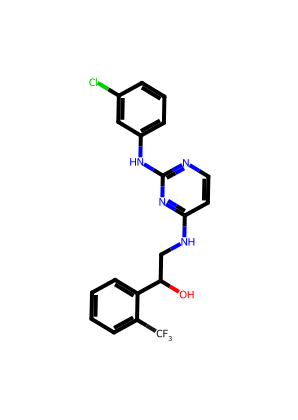 OC(CNc1ccnc(Nc2cccc(Cl)c2)n1)c1ccccc1C(F)(F)F